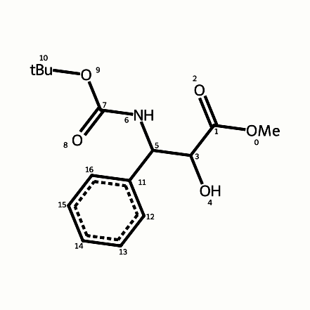 COC(=O)C(O)C(NC(=O)OC(C)(C)C)c1ccccc1